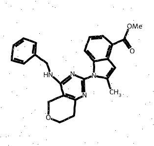 COC(=O)c1cccc2c1cc(C)n2-c1nc2c(c(NCc3ccccc3)n1)COCC2